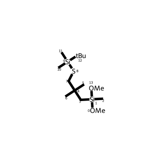 CO[Si](C)(CC(C)(C)CS[Si](C)(C)C(C)(C)C)OC